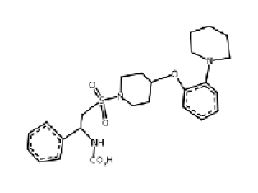 O=C(O)NC(CS(=O)(=O)N1CCC(Oc2ccccc2N2CCCCC2)CC1)c1ccccc1